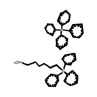 CCCCCCCCCCCCCCCC[P+](c1ccccc1)(c1ccccc1)c1ccccc1.c1ccc([B-](c2ccccc2)(c2ccccc2)c2ccccc2)cc1